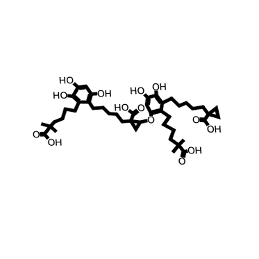 CC(C)(CCCCc1c(OC2CC2(CCCCCc2c(O)cc(O)c(O)c2CCCCC(C)(C)C(=O)O)C(=O)O)cc(O)c(O)c1CCCCCC1(C(=O)O)CC1)C(=O)O